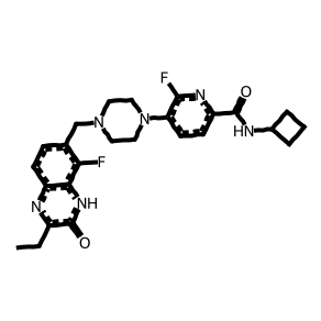 CCc1nc2ccc(CN3CCN(c4ccc(C(=O)NC5CCC5)nc4F)CC3)c(F)c2[nH]c1=O